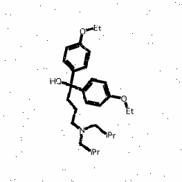 CCOc1ccc(C(O)(CCCN(CC(C)C)CC(C)C)c2ccc(OCC)cc2)cc1